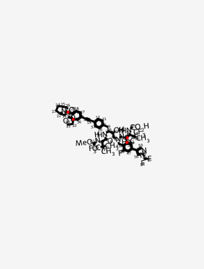 COC(=O)N[C@H](C(=O)N[C@@H](Cc1ccc(C#Cc2ccc(N3CC4CCC(C3)N4C(=O)[C@@H]3CCCO3)nc2)cc1)[C@@H](O)CN(Cc1c(F)cc(-c2cnn(C(F)F)c2)cc1F)NC(=O)[C@@H](NC(=O)O)C(C)(C)C(F)(F)F)C(C)(C)C(F)(F)F